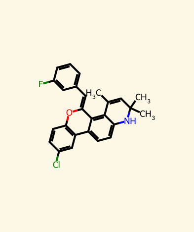 CC1=CC(C)(C)Nc2ccc3c(c21)C(=Cc1cccc(F)c1)Oc1ccc(Cl)cc1-3